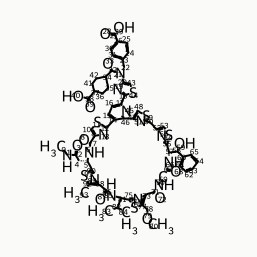 CNC(=O)C[C@@H]1NC(=O)c2csc(n2)-c2ccc(-c3nc(N(Cc4ccc(C(=O)O)cc4)C(=O)C4CCC(C(=O)O)CC4)cs3)nc2-c2csc(n2)-c2csc(n2)[C@H]([C@@H](O)c2ccccc2)NC(=O)CNC(=O)c2nc(sc2COC)C(C(C)C)NC(=O)c2nc1sc2C